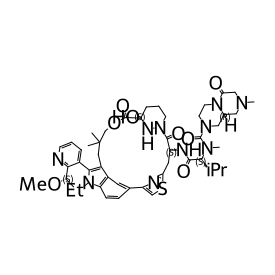 CCn1c(-c2cccnc2[C@H](C)OC)c2c3cc(ccc31)-c1csc(n1)C[C@H](NC(=O)[C@H](C(C)C)N(C)C(=O)N1CCN3C(=O)CN(C)C[C@@H]3C1)C(=O)N1CCC[C@@](O)(N1)C(=O)OCC(C)(C)C2